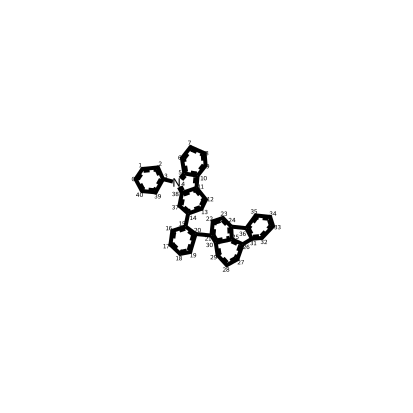 c1ccc(-n2c3ccccc3c3ccc(-c4ccccc4-c4ccc5c6c(cccc46)-c4ccccc4-5)cc32)cc1